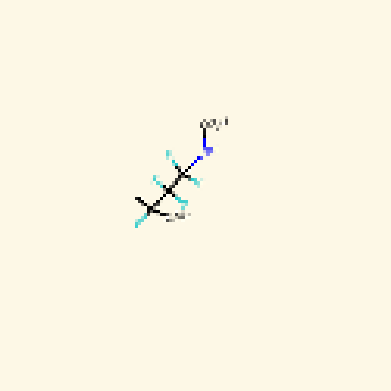 COC(C)(F)C(F)(F)C(F)(F)NC(=O)O